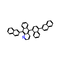 c1ccc2cc(-c3ccc(-c4c5ccccc5c(-c5ccc6ccccc6c5)c5ncccc45)c4ccccc34)ccc2c1